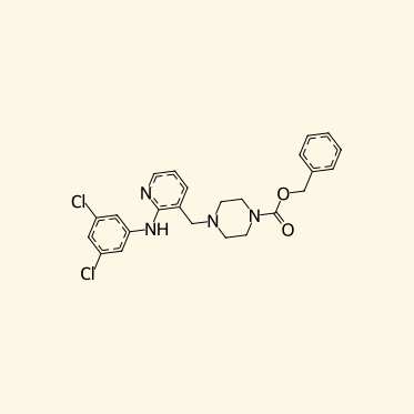 O=C(OCc1ccccc1)N1CCN(Cc2cccnc2Nc2cc(Cl)cc(Cl)c2)CC1